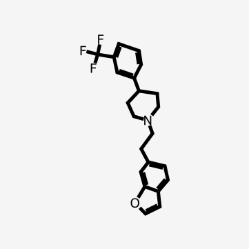 FC(F)(F)c1cccc(C2CCN(CCc3ccc4ccoc4c3)CC2)c1